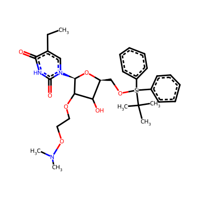 CCc1cn([C@H]2O[C@@H](CO[Si](c3ccccc3)(c3ccccc3)C(C)(C)C)C(O)C2OCCON(C)C)c(=O)[nH]c1=O